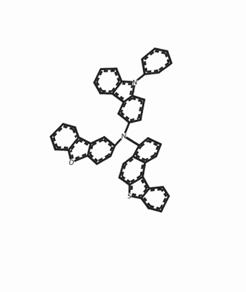 c1ccc(-n2c3ccccc3c3cc(N(c4ccc5oc6ccccc6c5c4)c4cccc5c4ccc4sc6ccccc6c45)ccc32)cc1